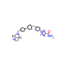 Cc1nc(C(N)=O)nn1-c1ccc(Cc2ccc(-c3ccc(CN4C[C@H]5CCN(C)[C@H]5C4)cc3)cc2)cc1